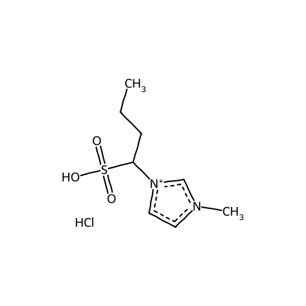 CCCC([n+]1ccn(C)c1)S(=O)(=O)O.Cl